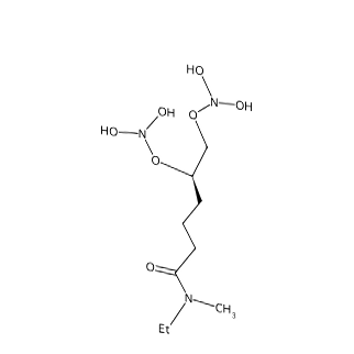 CCN(C)C(=O)CCC[C@H](CON(O)O)ON(O)O